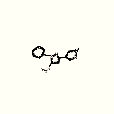 Cn1cc(-c2cc(N)n(-c3ccccc3)n2)cn1